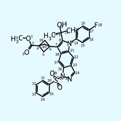 COC(=O)C12CC(c3c(C(C)(C)O)n(-c4ccc(F)cc4)c4cc5cnn(S(=O)(=O)c6ccccc6)c5cc34)(C1)C2